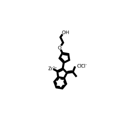 CC(C)=C1C(C2=CC(OCCO)=CC2)=[C]([Zr+2])c2ccccc21.[Cl-].[Cl-]